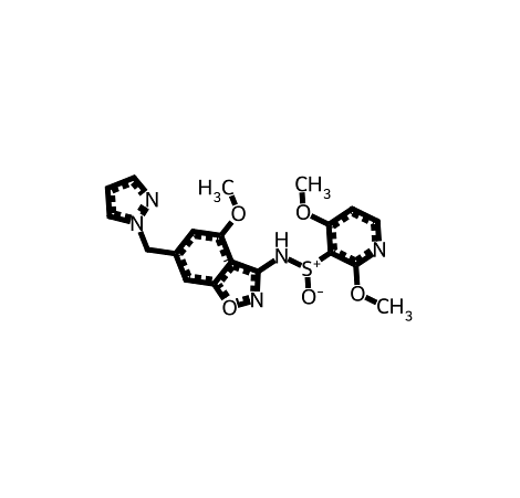 COc1ccnc(OC)c1[S+]([O-])Nc1noc2cc(Cn3cccn3)cc(OC)c12